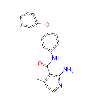 Cc1cccc(Oc2ccc(NC(=O)c3c(C)ccnc3N)cc2)c1